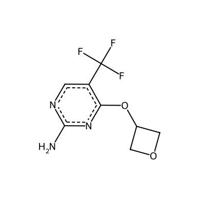 Nc1ncc(C(F)(F)F)c(OC2COC2)n1